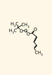 CC=CC=CC(=O)OOOC(C)(C)C